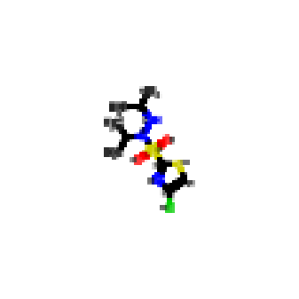 CC(NN(C(C)C(F)(F)F)S(=O)(=O)c1nc(Cl)cs1)C(F)(F)F